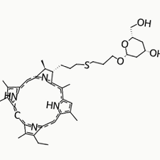 C=Cc1c(C)c2cc3nc(c(C)c4cc(C)c(cc5nc(cc1[nH]2)C(C)=C5CC)[nH]4)[C@@H](CCCSCCCO[C@H]1C[C@@H](O)C[C@@H](CO)O1)[C@@H]3C